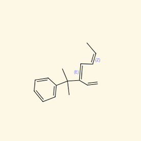 C=C/C(=C\C=C/C)C(C)(C)c1ccccc1